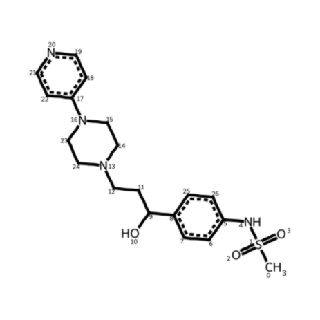 CS(=O)(=O)Nc1ccc(C(O)CCN2CCN(c3ccncc3)CC2)cc1